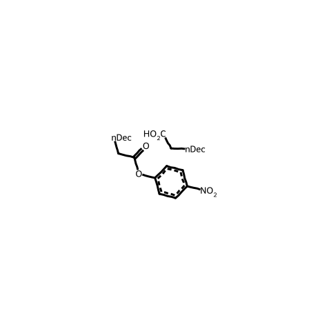 CCCCCCCCCCCC(=O)O.CCCCCCCCCCCC(=O)Oc1ccc([N+](=O)[O-])cc1